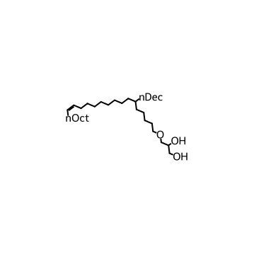 CCCCCCCC/C=C\CCCCCCCCC(CCCCCCCCCC)CCCCCOCC(O)CO